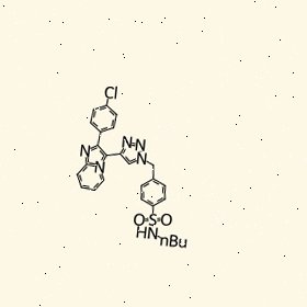 CCCCNS(=O)(=O)c1ccc(Cn2cc(-c3c(-c4ccc(Cl)cc4)nc4ccccn34)nn2)cc1